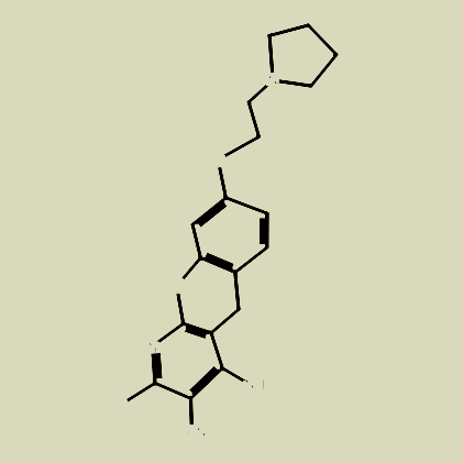 Cc1nc2c(c(N)c1C#N)Cc1ccc(OCCN3CCCC3)cc1O2